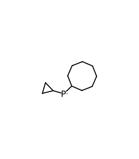 C1CCCC([P]C2CC2)CCC1